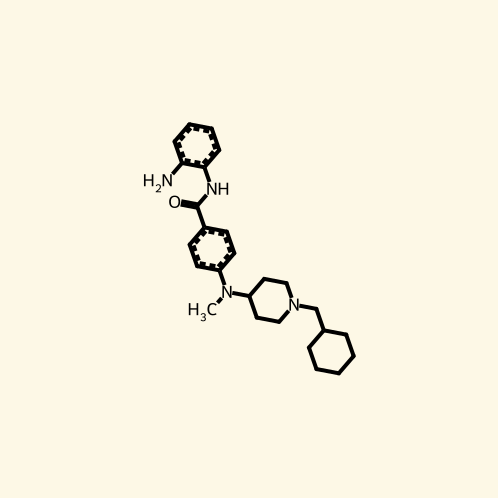 CN(c1ccc(C(=O)Nc2ccccc2N)cc1)C1CCN(CC2CCCCC2)CC1